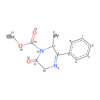 CC(C)C1C(c2ccccc2)=NCC(=O)N1C(=O)OC(C)(C)C